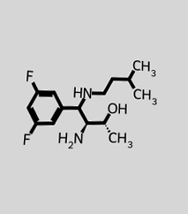 CC(C)CCNC(c1cc(F)cc(F)c1)[C@H](N)[C@@H](C)O